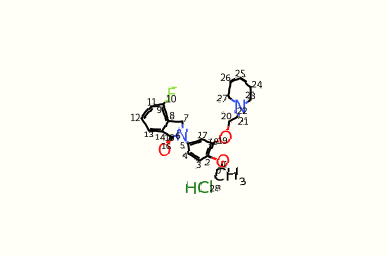 COc1ccc(N2Cc3c(F)cccc3C2=O)cc1OCCN1CCCCC1.Cl